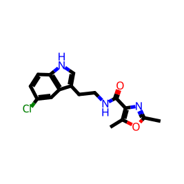 Cc1nc(C(=O)NCCc2c[nH]c3ccc(Cl)cc23)c(C)o1